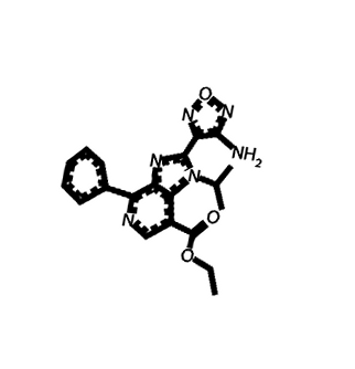 CCOC(=O)c1cnc(-c2ccccc2)c2nc(-c3nonc3N)n(C(C)C)c12